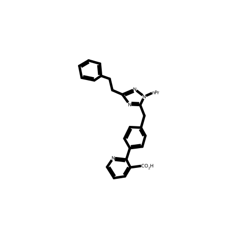 CCCn1nc(CCc2ccccc2)nc1Cc1ccc(-c2ncccc2C(=O)O)cc1